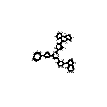 C1=CC=CCC(c2ccc(-c3cc(C4=CC=CC(c5cccc6ccccc56)C4)nc(-c4ccc(-c5cc6ccccc6c6ccccc56)cc4)n3)cc2)C=1